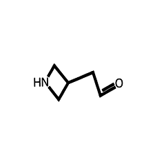 O=CCC1CNC1